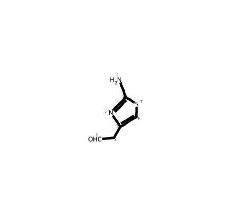 Nc1nc(CC=O)cs1